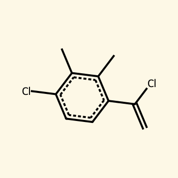 C=C(Cl)c1ccc(Cl)c(C)c1C